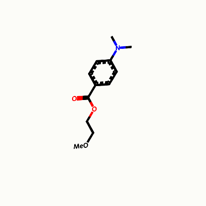 COCCOC(=O)c1ccc(N(C)C)cc1